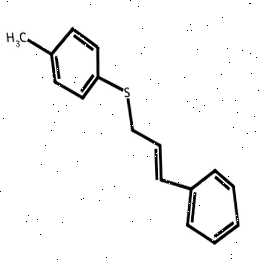 Cc1ccc(SC/C=C/c2ccccc2)cc1